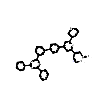 C=N/C=C(\C=C/C)c1cc(-c2ccc(-c3cccc(-c4nc(-c5ccccc5)nc(-c5ccccc5)n4)c3)cc2)cc(-c2cccnc2)n1